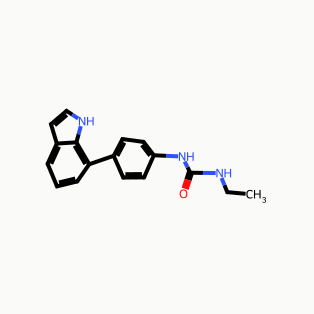 CCNC(=O)Nc1ccc(-c2cccc3cc[nH]c23)cc1